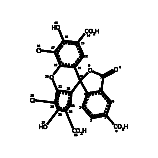 O=C(O)c1ccc2c(c1)C(=O)OC21c2cc(C(=O)O)c(O)c(Cl)c2Oc2c1cc(C(=O)O)c(O)c2Cl